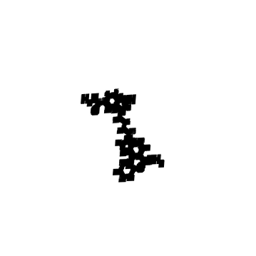 NC(=O)c1ccc2[nH]cc(CCCCn3ccc4c(N5CCCCC5)c(C(N)=O)ccc43)c2c1